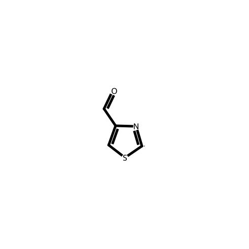 O=Cc1cs[c]n1